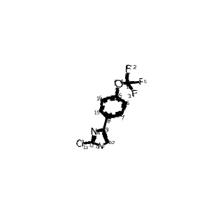 FC(F)(F)Oc1ccc(C2=C[N]C(Cl)=N2)cc1